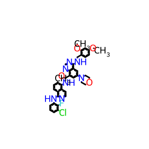 COc1ccc(CNc2ncnc3c(C(=O)Nc4c(C)ccc5c(Nc6cccc(Cl)c6F)nccc45)cc(N4CCOCC4)cc23)c(OC)c1